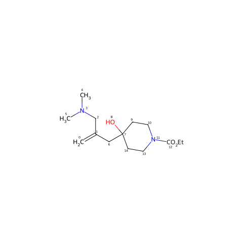 C=C(CN(C)C)CC1(O)CCN(C(=O)OCC)CC1